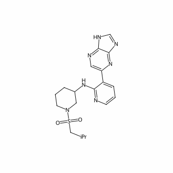 CC(C)CS(=O)(=O)N1CCCC(Nc2ncccc2-c2cnc3[nH]cnc3n2)C1